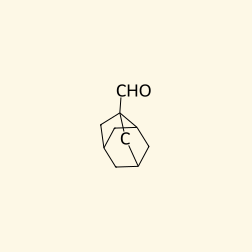 O=CC12CC3CC(CC1C3)C2